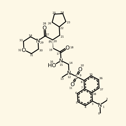 CN(C)c1cccc2c(S(=O)(=O)N(C)CN(O)C(=O)C[C@@H](CC3CCCC3)C(=O)N3CCOCC3)cccc12